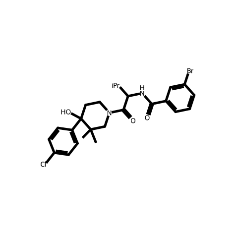 CC(C)C(NC(=O)c1cccc(Br)c1)C(=O)N1CCC(O)(c2ccc(Cl)cc2)C(C)(C)C1